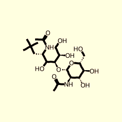 CC(=O)N[C@H]1[C@H](O[C@@H](C(O)[C@H](CC(C)(C)C)NC(C)=O)[C@H](O)CO)O[C@H](CO)[C@@H](O)[C@@H]1O